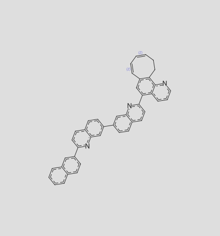 C1=C\CCc2c(cc(-c3ccc4ccc(-c5ccc6ccc(-c7ccc8ccccc8c7)nc6c5)cc4n3)c3cccnc23)\C=C/1